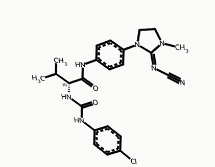 CC(C)[C@@H](NC(=O)Nc1ccc(Cl)cc1)C(=O)Nc1ccc(N2CCN(C)C2=NC#N)cc1